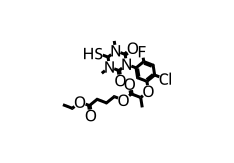 CCOC(=O)CCCOC(=O)C(C)Oc1cc(N2C(=O)N(C)C(S)N(C)C2=O)c(F)cc1Cl